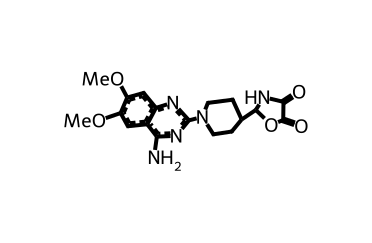 COc1cc2nc(N3CCC(C4NC(=O)C(=O)O4)CC3)nc(N)c2cc1OC